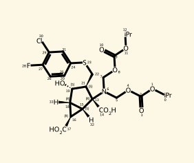 CC(C)OC(=O)OCN(COC(=O)OC(C)C)[C@]1(C(=O)O)[C@@H]2[C@@H](C(=O)O)[C@@H]2[C@H](O)[C@H]1CSc1ccc(F)c(Cl)c1